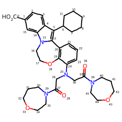 O=C(O)c1ccc2c(C3CCCCC3)c3n(c2c1)CCOc1c-3cccc1N(CC(=O)N1CCCOCC1)CC(=O)N1CCCOCC1